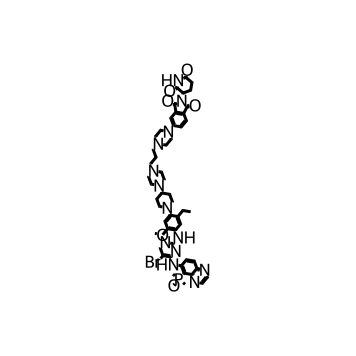 CCc1cc(Nc2ncc(Br)c(Nc3ccc4nccnc4c3P(C)(C)=O)n2)c(OC)cc1N1CCC(N2CCN(CCCN3CCN(c4ccc5c(c4)C(=O)N(C4CCC(=O)NC4=O)C5=O)CC3)CC2)CC1